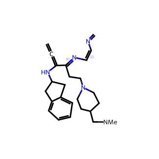 C=C=C(NC1Cc2ccccc2C1)/C(CCN1CCC(CNC)CC1)=N/C=C\N=C